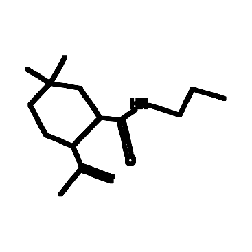 C=C(C)C1CCC(C)(C)CC1C(=O)NCCC